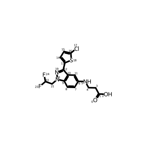 O=C(O)CCNc1ccc2c(c1)c(-c1ccc(Cl)s1)nn2CC(F)F